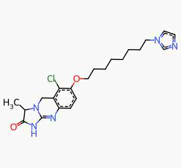 CC1C(=O)NC2=Nc3ccc(OCCCCCCCCn4ccnc4)c(Cl)c3CN21